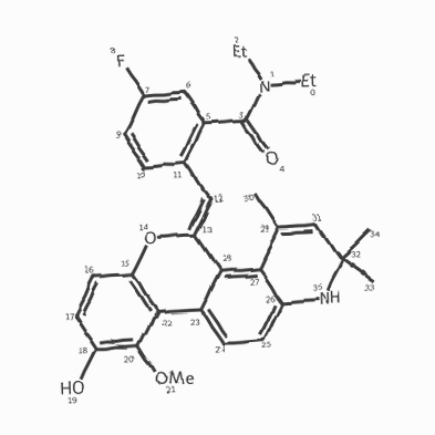 CCN(CC)C(=O)c1cc(F)ccc1/C=C1\Oc2ccc(O)c(OC)c2-c2ccc3c(c21)C(C)=CC(C)(C)N3